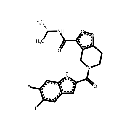 C[C@@H](NC(=O)c1onc2c1CN(C(=O)c1cc3cc(F)c(F)cc3[nH]1)CC2)C(F)(F)F